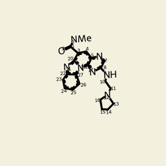 CNC(=O)c1cc2ncc(NCCN3CCCC3)nc2n2c1nc1ccccc12